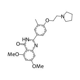 COc1cc(OC)c2c(=O)[nH]c(-c3ccc(OCCN4CCCC4)c(C)c3)nc2c1